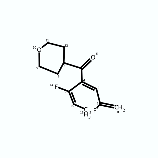 C=C(F)/C=C(C(=O)C1CCOCC1)\C(F)=C/C